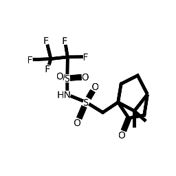 CC1(C)C2CCC1(CS(=O)(=O)NS(=O)(=O)C(F)(F)C(F)(F)F)C(=O)C2